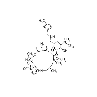 CC[C@H]1OC(=O)C(C)C(=O)[C@H](C)[C@@H](O[C@@H]2OC(CNCc3ccn(C)n3)CC(N(C)C)C2O)[C@](C)(OC)C[C@@H](C)CN[C@H](C)[C@H]2NC(=O)O[C@@]21C